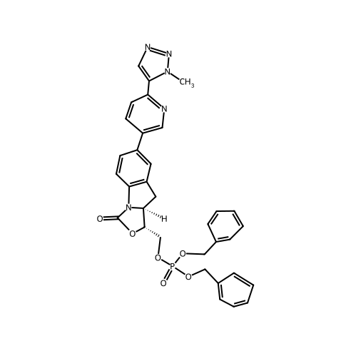 Cn1nncc1-c1ccc(-c2ccc3c(c2)C[C@H]2[C@H](COP(=O)(OCc4ccccc4)OCc4ccccc4)OC(=O)N32)cn1